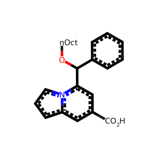 CCCCCCCCOC(c1ccccc1)c1cc(C(=O)O)cc2cccn12